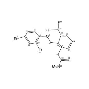 CCc1ccc(OCc2c(CC(=O)NC)cccc2C(F)F)c(CC)c1